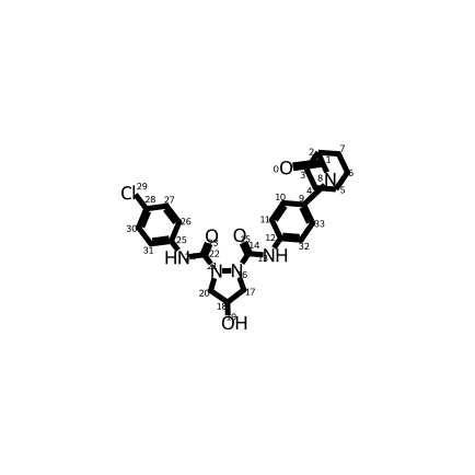 O=C1C2CCC(CC2)N1c1ccc(NC(=O)N2CC(O)CN2C(=O)Nc2ccc(Cl)cc2)cc1